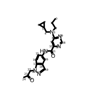 CCCN(CC1CC1)c1cc(C(=O)Nc2ccc3c(cnn3CC(C)=O)c2)ncn1